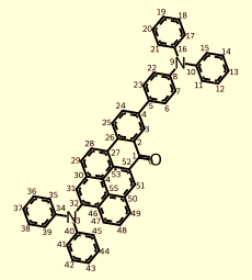 O=C1c2cc(-c3ccc(N(c4ccccc4)c4ccccc4)cc3)ccc2-c2ccc3cc(N(c4ccccc4)c4ccccc4)c4cccc5cc1c2c3c54